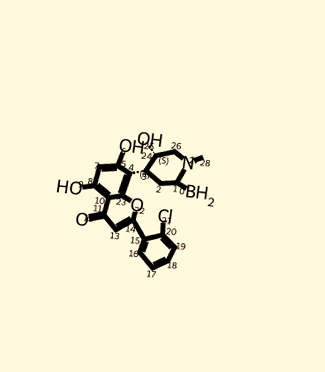 BC1C[C@H](c2c(O)cc(O)c3c(=O)cc(-c4ccccc4Cl)oc23)[C@H](O)CN1C